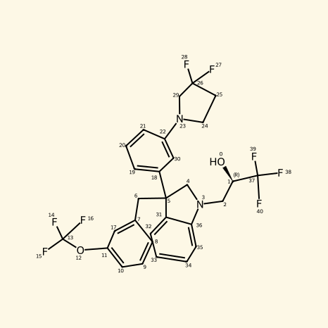 O[C@H](CN1CC(Cc2cccc(OC(F)(F)F)c2)(c2cccc(N3CCC(F)(F)C3)c2)c2ccccc21)C(F)(F)F